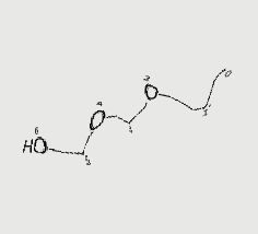 C[CH]OCOCO